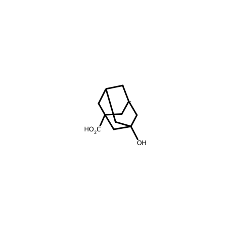 O=C(O)C12C[C]3CC(CC(O)(C3)C1)C2